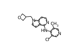 Cc1cncc(Cl)c1Nc1nccc2c1ccn2CC1COC1